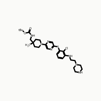 CC1(CNC(=O)OC(C)(C)C)CCN(c2cnc(Sc3cccc(NCCN4CCNCC4)c3Cl)cn2)CC1